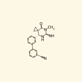 CN1C(=N)N[C@H](c2cccc(-c3cccc(C#N)c3)c2)C2(CC2)C1=O